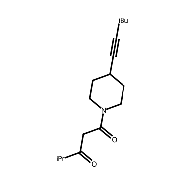 CCC(C)C#CC1CCN(C(=O)CC(=O)C(C)C)CC1